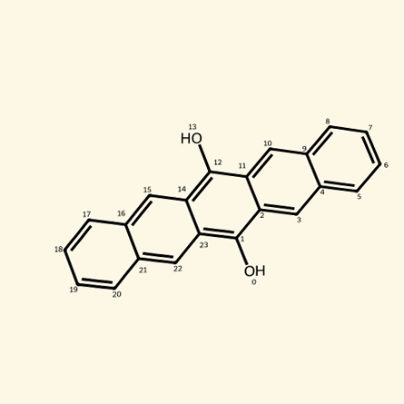 Oc1c2cc3ccccc3cc2c(O)c2cc3ccccc3cc12